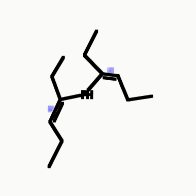 CC/C=C(/CC)P/C(=C\CC)CC